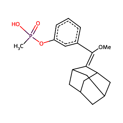 COC(=C1C2CC3CC(C2)CC1C3)c1cccc(OP(C)(=O)O)c1